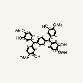 COc1ccc(C(c2ccc(C(c3ccc(OC)c(O)c3)c3ccc(OC)c(O)c3)cc2)c2ccc(OC)c(O)c2)cc1O